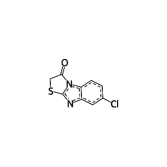 O=C1CSc2nc3cc(Cl)ccc3n21